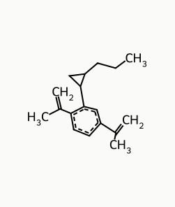 C=C(C)c1ccc(C(=C)C)c(C2CC2CCC)c1